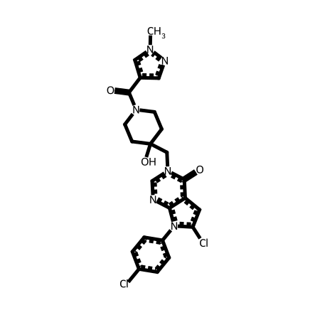 Cn1cc(C(=O)N2CCC(O)(Cn3cnc4c(cc(Cl)n4-c4ccc(Cl)cc4)c3=O)CC2)cn1